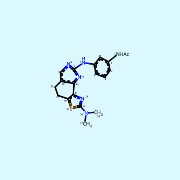 CC(=O)Nc1cccc(Nc2ncc3c(n2)-c2nc(N(C)C)sc2CC3)c1